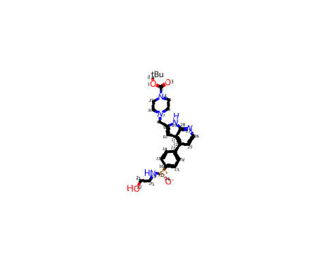 CC(C)(C)OC(=O)N1CCN(Cc2cc3c(-c4ccc([S+]([O-])NCCO)cc4)ccnc3[nH]2)CC1